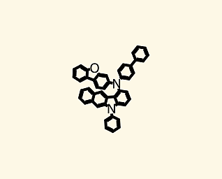 c1ccc(-c2ccc(N(c3ccc4c(c3)oc3ccccc34)c3cccc4c3c3cc5ccccc5cc3n4-c3ccccc3)cc2)cc1